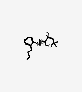 CCCCc1ccccc1NN=C1COC(C)(C)CC1=O